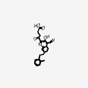 Cc1ccccc1CCc1ccc2c(C#N)c(O)c(C(=O)CCC(=O)O)nc2c1